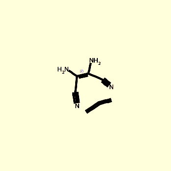 C=C=C.N#C/C(N)=C(/N)C#N